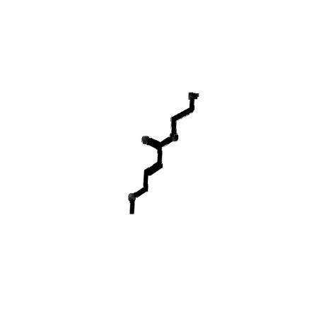 COCC=CC(=O)OCCBr